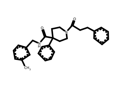 Cc1cccc(CNC(=O)C2(c3ccccc3)CCN(C(=O)CCc3ccccc3)CC2)c1